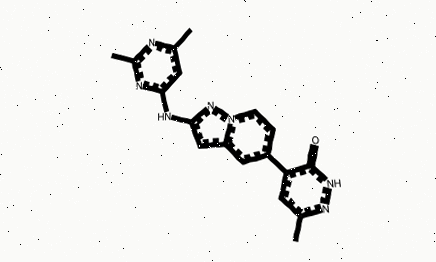 Cc1cc(-c2ccn3nc(Nc4cc(C)nc(C)n4)cc3c2)c(=O)[nH]n1